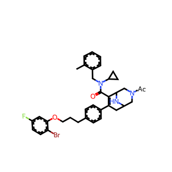 CC(=O)N1CC2CC(c3ccc(CCCOc4cc(F)ccc4Br)cc3)=C(C(=O)N(Cc3ccccc3C)C3CC3)C(C1)N2